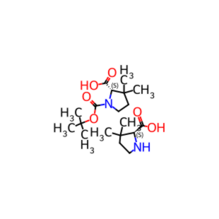 CC(C)(C)OC(=O)N1CCC(C)(C)[C@H]1C(=O)O.CC1(C)CCN[C@@H]1C(=O)O